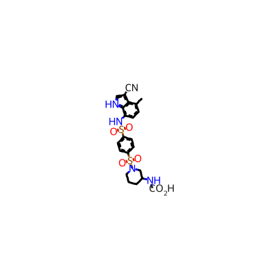 Cc1ccc(NS(=O)(=O)c2ccc(S(=O)(=O)N3CCCC(NC(=O)O)C3)cc2)c2[nH]cc(C#N)c12